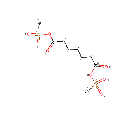 CC(C)S(=O)(=O)OC(=O)CCCCCC(=O)OS(=O)(=O)C(C)C